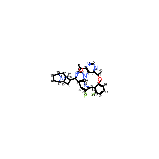 CC(C)c1ncnc2c1-n1c(=O)nc(C3CC4C5CCC(C[C@H]34)N5)c3cc(F)c(nc31)-c1c(F)cccc1OC2C